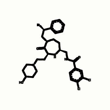 CC[C@H](CN1CC[C@@H](CNC(=O)c2ccc(Cl)c(Cl)c2)N[C@@H](CCN2CCC(O)CC2)C1=O)c1ccccc1